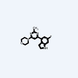 Cc1nc(-c2cc(F)cc3[nH]ccc23)cc(N2CCOCC2)n1